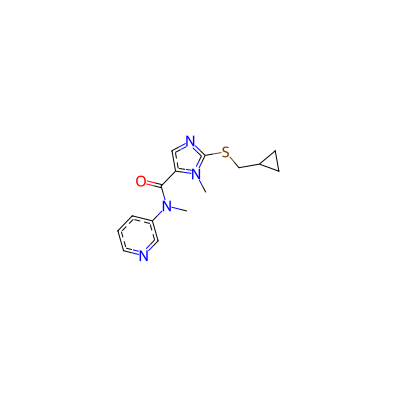 CN(C(=O)c1cnc(SCC2CC2)n1C)c1cccnc1